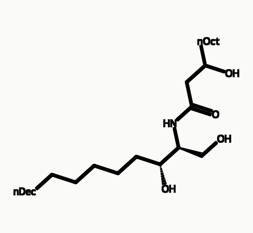 CCCCCCCCCCCCCCC[C@@H](O)[C@H](CO)NC(=O)CC(O)CCCCCCCC